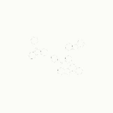 c1ccc(-n2c3ccccc3c3cc(-c4ccc(N(c5cccc(-c6cccc7c6sc6ccccc67)c5)c5cccc6oc7c8ccccc8ccc7c56)cc4)ccc32)cc1